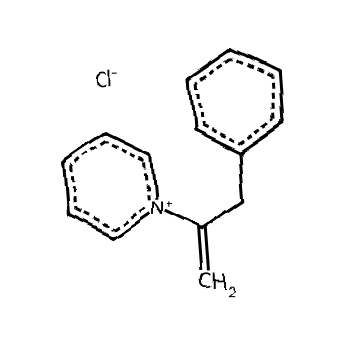 C=C(Cc1ccccc1)[n+]1ccccc1.[Cl-]